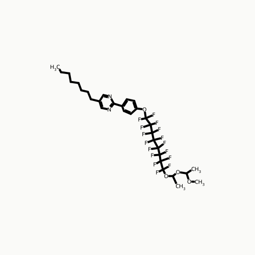 CCCCCCCCc1cnc(-c2ccc(OC(F)(F)C(F)(F)C(F)(F)C(F)(F)C(F)(F)C(F)(F)C(F)(F)C(F)(F)OC(C)OC(C)OC)cc2)nc1